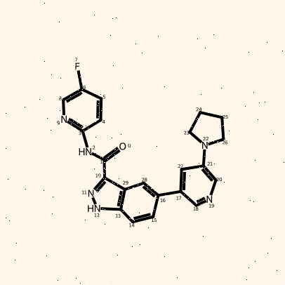 O=C(Nc1ccc(F)cn1)c1n[nH]c2ccc(-c3cncc(N4CCCC4)c3)cc12